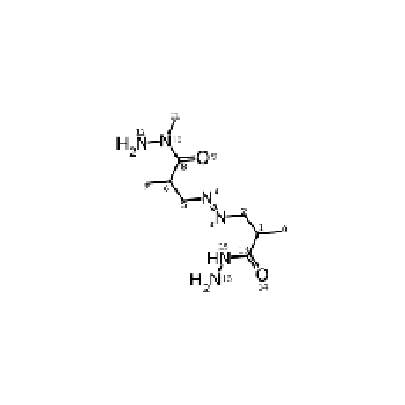 CC(CN=NCC(C)C(=O)N(C)N)C(=O)NN